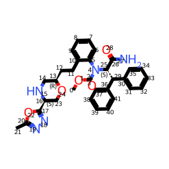 COC(=O)N(c1ccccc1CC[C@@H]1CN[C@H](c2nnc(C)o2)CO1)[C@H](C(N)=O)C(c1ccccc1)c1ccccc1